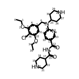 CCOc1cc(CN(c2ccc(C(=O)NC(=O)C3CCNCC3)cn2)C2CCNCC2)cc(OCC)c1Cl